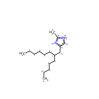 CCCCCCC(CCCCC)Cc1c[nH]c(C)n1